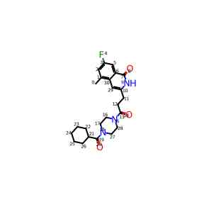 Cc1cc(F)cc2c(=O)[nH]c(CCC(=O)N3CCN(C(=O)C4CCCCC4)CC3)cc12